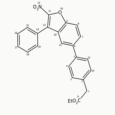 CCOC(=O)Cc1ccc(-c2ccc3oc([N+](=O)[O-])c(-c4ccccc4)c3c2)cc1